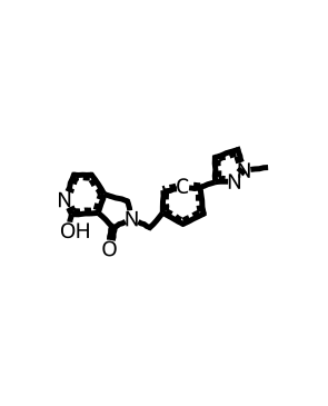 Cn1ccc(-c2ccc(CN3Cc4ccnc(O)c4C3=O)cc2)n1